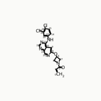 C=CC(=O)N1CC(Oc2cc3c(Nc4ccc(Cl)c(Cl)c4)ncnc3cn2)C1